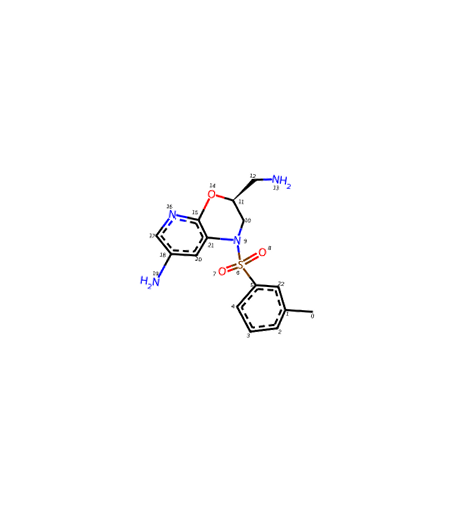 Cc1cccc(S(=O)(=O)N2C[C@H](CN)Oc3ncc(N)cc32)c1